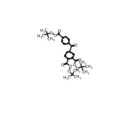 CC(C)(C)OOC(=O)c1ccc(C(=O)c2ccc(C(=O)OOC(C)(C)C)c(C(=O)OOC(C)(C)C)c2)cc1